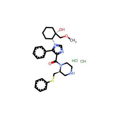 COC[C@]1(O)CCCC[C@H]1n1cnc(C(=O)N2CCNC[C@H]2CSc2ccccc2)c1-c1ccccc1.Cl.Cl